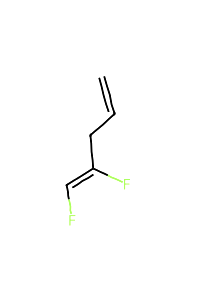 C=CCC(F)=CF